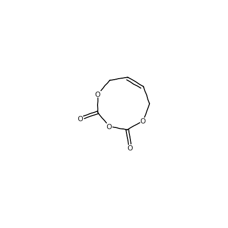 O=C1OCC=CCOC(=O)O1